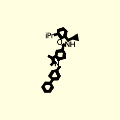 Cc1c(C)n(Cc2ccc(-c3ccccc3)cc2)c2ccc(C(=O)N[C@@H](c3cccc(C(C)C)c3)C3CC3)cc12